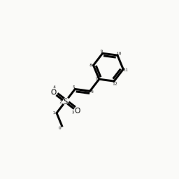 CCS(=O)(=O)/C=C/c1ccccc1